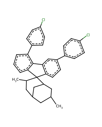 CC1CC2CC(C)C3(c4ccc(-c5ccc(Cl)cc5)cc4-c4c(-c5ccc(Cl)cc5)cccc43)C(C1)C2